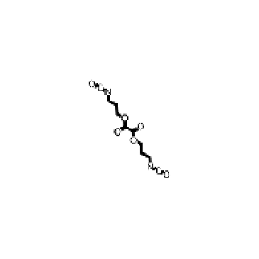 O=C=NCCCOC(=O)C(=O)OCCCN=C=O